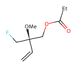 C=C[C@](CF)(COC(=O)CC)OC